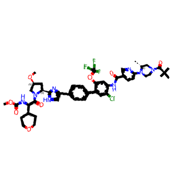 COC(=O)NC(C(=O)N1C[C@@H](OC)C[C@H]1c1nc(-c2ccc(-c3cc(Cl)c(NC(=O)c4ccc(N5CCN(C(=O)C(C)(C)C)C[C@H]5C)nc4)cc3OC(F)(F)F)cc2)c[nH]1)C1CCOCC1